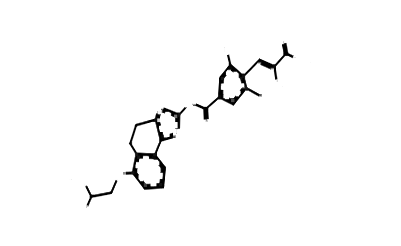 CC(=Cc1c(F)cc(C(=O)Nc2nc3c(s2)CCc2c(OCC(C)C)cccc2-3)cc1F)C(=O)O